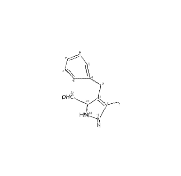 CC1=C(Cc2ccccc2)C(C=O)NN1